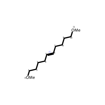 COCCCC/C=C/CCCCOC